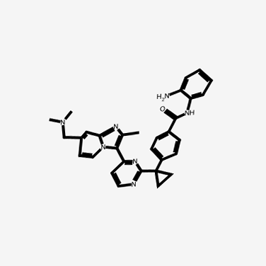 Cc1nc2cc(CN(C)C)ccn2c1-c1ccnc(C2(c3ccc(C(=O)Nc4ccccc4N)cc3)CC2)n1